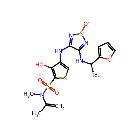 C=C(C)N(C)S(=O)(=O)c1scc(Nc2n[s+]([O-])nc2N[C@@H](c2ccco2)C(C)(C)C)c1O